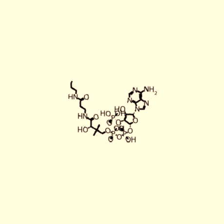 CCCNC(=O)CCNC(=O)[C@H](O)C(C)(C)COP(=O)(O)OP(=O)(O)O[C@H]1O[C@@H](n2cnc3c(N)ncnc32)[C@H](O)[C@@H]1OP(=O)(O)O